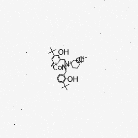 C=C1C=C(C(C)(C)C)C(O)=C(C=[N+](C2CCCCC2)[N+]([Co])=Cc2cccc(C(C)(C)C)c2O)C1.[Cl-].[Cl-]